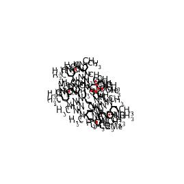 CON1C(C)(C)CC(N(CCCC(CCN(c2nc(N(C)C3CC(C)(C)NC(C)(C)C3)nc(N(C)C3CC(C)(C)NC(C)(C)C3)n2)C2CC(C)(C)N(OC)C(C)(C)C2)N(c2nc(N(C)C3CC(C)(C)NC(C)(C)C3)nc(N(C)C3CC(C)(C)NC(C)(C)C3)n2)C2CC(C)(C)N(OC)C(C)(C)C2)c2nc(N(C)C3CC(C)(C)NC(C)(C)C3)nc(N(C)C3CC(C)(C)NC(C)(C)C3)n2)CC1(C)C